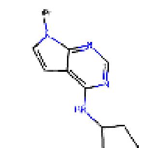 CC(C)n1ccc2c(NC3CCCC3)ncnc21